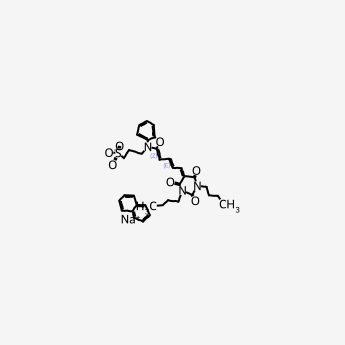 CCCCN1C(=O)C(=C/C=C/C=C2\Oc3ccccc3N2CCCS(=O)(=O)[O-])C(=O)N(CCCC)C1=O.[Na+].c1ccc2ccccc2c1